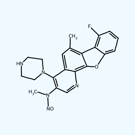 Cc1cc2c(N3CCNCC3)c(N(C)N=O)cnc2c2oc3cccc(F)c3c12